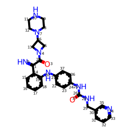 N=C(C(=O)N1CC(N2CCNCC2)C1)c1ccccc1Nc1ccc(NC(=O)NCc2cccnc2)cc1